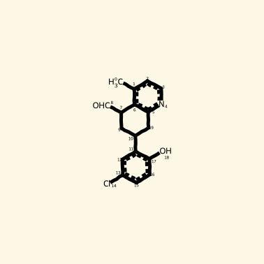 Cc1ccnc2c1C(C=O)CC(c1cc(Cl)ccc1O)C2